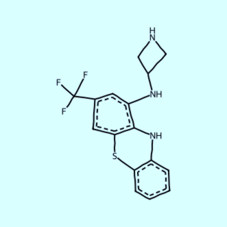 FC(F)(F)c1cc(NC2CNC2)c2c(c1)Sc1ccccc1N2